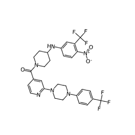 O=C(c1ccnc(N2CCN(c3ccc(C(F)(F)F)cc3)CC2)c1)N1CCC(Nc2ccc([N+](=O)[O-])c(C(F)(F)F)c2)CC1